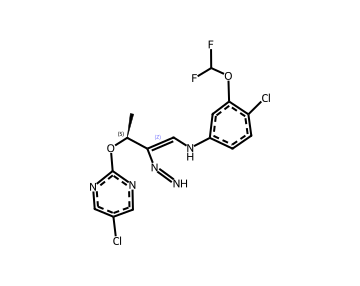 C[C@H](Oc1ncc(Cl)cn1)/C(=C/Nc1ccc(Cl)c(OC(F)F)c1)N=N